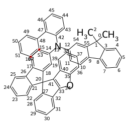 CC1(C)c2ccccc2-c2ccc(N(c3ccc4c(c3)C3(c5ccccc5-4)c4ccccc4-c4oc5ccccc5c43)c3ccccc3-c3ccccc3)cc21